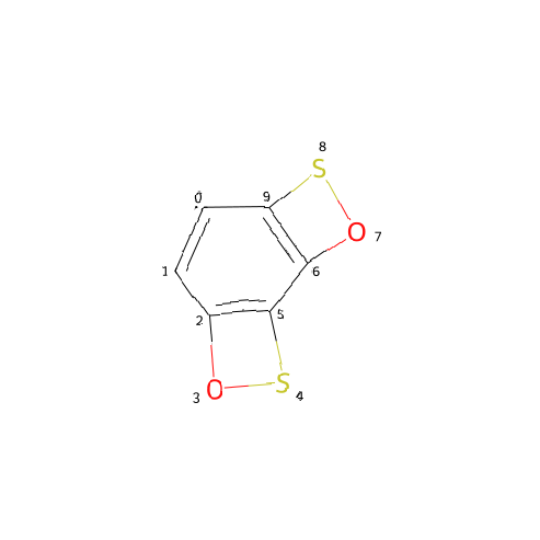 [c]1cc2osc2c2osc12